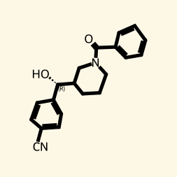 N#Cc1ccc([C@H](O)C2CCCN(C(=O)c3ccccc3)C2)cc1